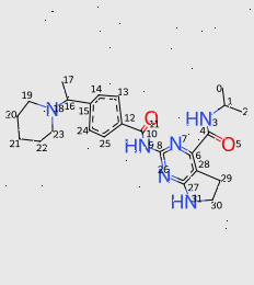 CC(C)NC(=O)c1nc(NC(=O)c2ccc(C(C)N3CCCCC3)cc2)nc2c1CCN2